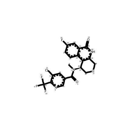 CN(C(=O)c1cnc(C(F)(F)F)c(Cl)c1)[C@@H]1COCc2[nH]c(=O)c3cc(F)ccc3c21